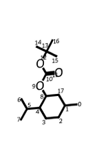 CC1CCC(C(C)C)C(OC(=O)OC(C)(C)C)C1